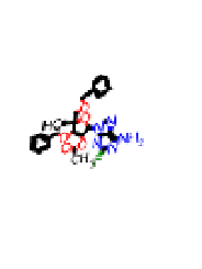 C#CC1(COCc2ccccc2)OC(n2cnc3c(N)nc(F)nc32)C(OC(C)=O)C1OCc1ccccc1